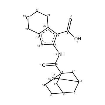 O=C(O)c1c(NC(=O)C23CC4CC(CC(C4)O2)C3)sc2c1CCOC2